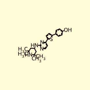 CC1(C)CC(Nc2nccc(-c3ccc(-c4ccc(O)cc4)s3)n2)CC(C)(C)N1